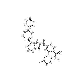 CN1CCC(N(C)C(=O)c2ccc(Nc3nc4c(N5CCC=C(c6ccccc6)CC5)cccn4n3)cc2)CC1